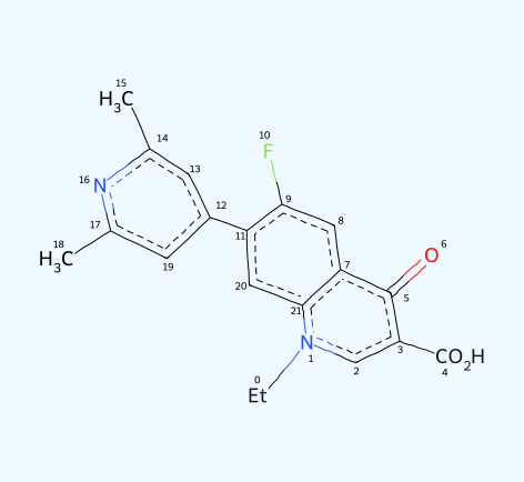 CCn1cc(C(=O)O)c(=O)c2cc(F)c(-c3cc(C)nc(C)c3)cc21